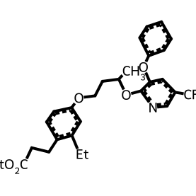 CCOC(=O)CCc1ccc(OCCC(C)Oc2ncc(C(F)(F)F)cc2Oc2ccccc2)cc1CC